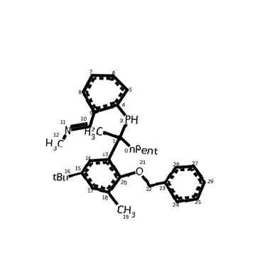 CCCCCC(C)(Pc1ccccc1/C=N/C)c1cc(C(C)(C)C)cc(C)c1OCc1ccccc1